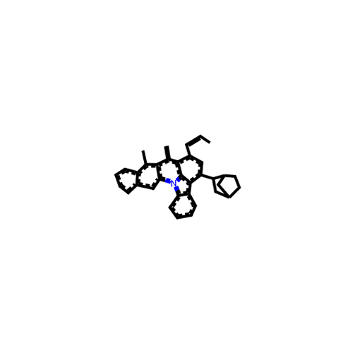 C=c1c2c(C)c3ccccc3cc2n2c3ccccc3c3c(C4CC5CCC4C5)cc(/C=C\C)c1c32